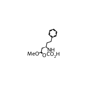 COC(=O)C[C@@H](CCc1ccccc1)NC(=O)O